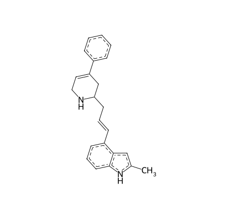 Cc1cc2c(C=CCC3CC(c4ccccc4)=CCN3)cccc2[nH]1